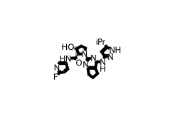 CC(C)c1cc(Nc2nc(N3CC[C@@H](O)[C@@H]3C(=O)Nc3ccc(F)nc3)nc3c2CCC3)n[nH]1